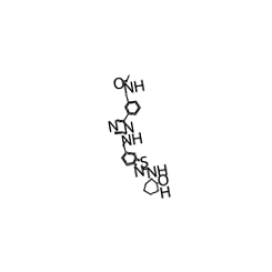 CC(=O)NCc1cccc(-c2cncc(NCc3ccc4nc(NC5CCCC[C@H]5O)sc4c3)n2)c1